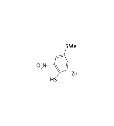 CSc1ccc(S)c([N+](=O)[O-])c1.[Zn]